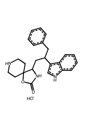 Cl.O=C1NC(CC(Cc2ccccc2)c2c[nH]c3ccccc23)C2(CCNCC2)O1